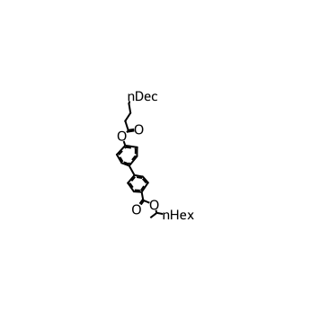 CCCCCCCCCCCCCC(=O)Oc1ccc(-c2ccc(C(=O)OC(C)CCCCCC)cc2)cc1